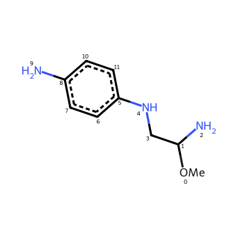 COC(N)CNc1ccc(N)cc1